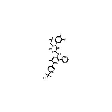 Cc1cc(NC(=O)N[C@@H]2c3cc(F)c(F)cc3C(C)(C)C[C@H]2O)c(-c2ccccc2)nc1-c1cnc(C(C)(C)O)nc1